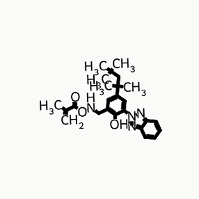 C=C(C)C(=O)ONCc1cc(C(C)(C)CC(C)(C)C)cc(-n2nc3ccccc3n2)c1O